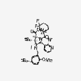 COC(=O)[C@@H]1[C@@H](C(C)(C)C)[C@H](NCc2cc(C(C)(C)C)ccc2OC)[C@H](c2cccnc2N(C)C)N1C(=O)[C@@H]1CCCC(F)(F)C1